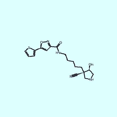 N#C[C@]1(CCCCCNC(=O)c2cc(-c3cccs3)on2)CNC[C@@H]1O